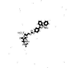 C[SiH](C)O[C@](C)([C@H]1C(=O)N2C(C(=O)O)=C(COC(=O)Oc3ccc(CO[Si](c4ccccc4)(c4ccccc4)C(C)(C)C)cc3)S[C@H]12)C(C)(C)C